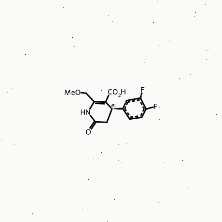 COCC1=C(C(=O)O)[C@@H](c2ccc(F)c(F)c2)CC(=O)N1